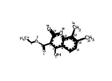 CCOC(=O)c1c(O)c2ccc(C)c(C)c2oc1=O